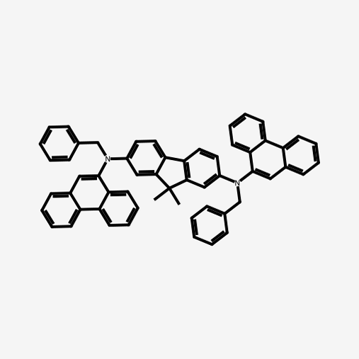 CC1(C)c2cc(N(Cc3ccccc3)c3cc4ccccc4c4ccccc34)ccc2-c2ccc(N(Cc3ccccc3)c3cc4ccccc4c4ccccc34)cc21